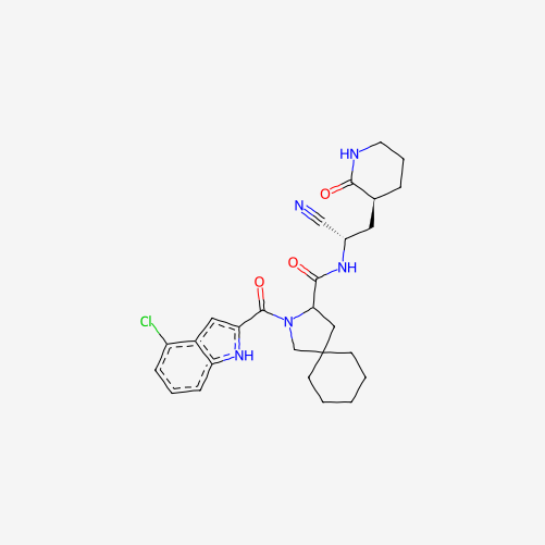 N#C[C@H](C[C@@H]1CCCNC1=O)NC(=O)C1CC2(CCCCC2)CN1C(=O)c1cc2c(Cl)cccc2[nH]1